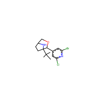 CC(C)(C)C12CCC(COC1c1cc(Cl)nc(Br)c1)N2